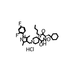 CCCCN1C(=O)[C@@H](CC2(O)CCCCC2)NC(=O)C12CCN(Cc1c(C)nn(-c3ccc(F)cc3F)c1C)CC2.Cl